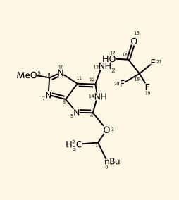 CCCCC(C)Oc1nc2nc(OC)nc-2c(N)[nH]1.O=C(O)C(F)(F)F